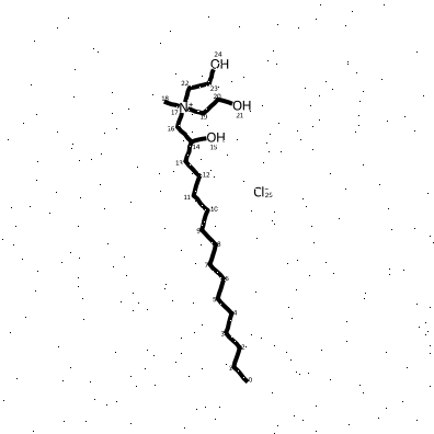 CCCCCCCCCCCCCCC(O)C[N+](C)(CCO)CCO.[Cl-]